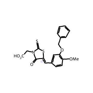 COc1ccc(/C=C2\SC(=S)N(CC(=O)O)C2=O)cc1OCc1ccccc1